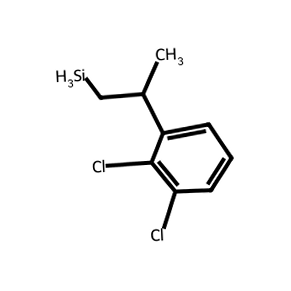 CC(C[SiH3])c1cccc(Cl)c1Cl